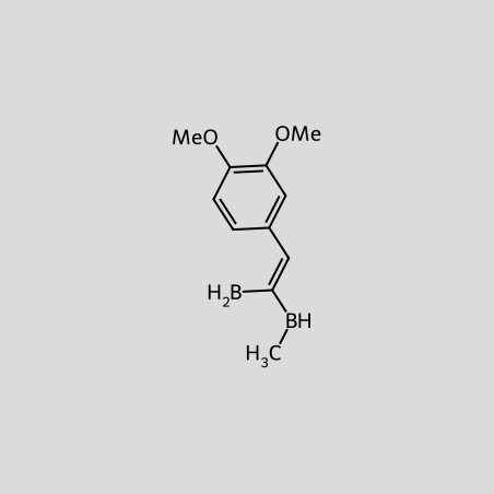 B/C(BC)=C\c1ccc(OC)c(OC)c1